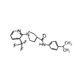 CC(C)c1ccc(NC(=O)C2CCN(c3ncccc3C(F)(F)F)CC2)cc1